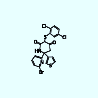 O=C1CC(c2ccsc2)(c2cccc(Br)n2)NC(=O)C1Sc1cc(Cl)ccc1Cl